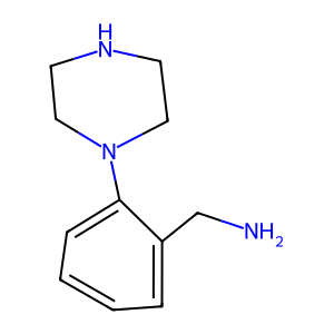 NCc1ccccc1N1CCNCC1